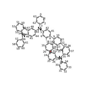 c1ccc(N(c2ccc(-c3ccc4c(c3)C3(c5ccccc5)c5ccccc5N(c5ccccc5)c5cccc-4c53)cc2)c2ccc3c(c2)c2ccccc2n3-c2ccccc2)cc1